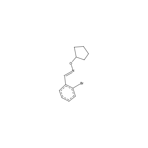 Brc1ccccc1/[C]=N/OC1CCCC1